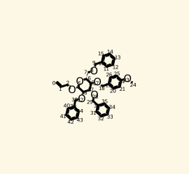 C=CCO[C@@H]1O[C@H](COCc2ccccc2)[C@@H](OCc2ccc(OC)cc2)[C@H](OCc2ccccc2)[C@H]1OCc1ccccc1